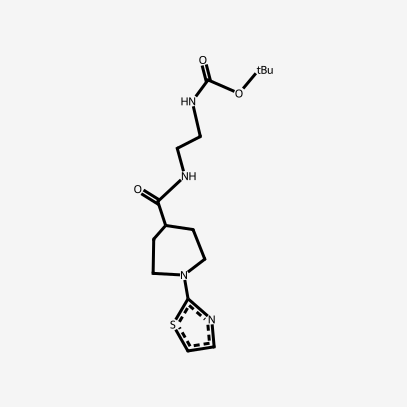 CC(C)(C)OC(=O)NCCNC(=O)C1CCN(c2nccs2)CC1